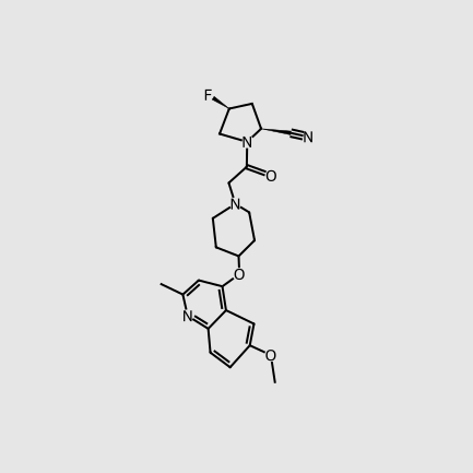 COc1ccc2nc(C)cc(OC3CCN(CC(=O)N4C[C@@H](F)C[C@H]4C#N)CC3)c2c1